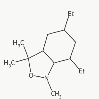 CCC1CC(CC)C2C(C1)C(C)(C)ON2C